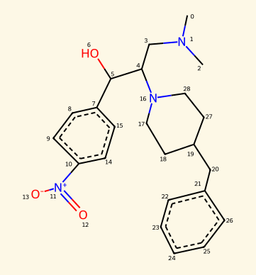 CN(C)CC(C(O)c1ccc([N+](=O)[O-])cc1)N1CCC(Cc2ccccc2)CC1